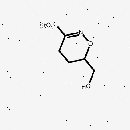 CCOC(=O)C1=NOC(CO)CC1